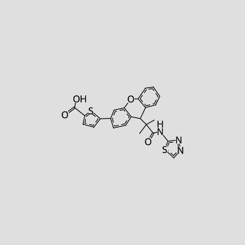 CC(C)(C(=O)Nc1nncs1)C1c2ccccc2Oc2cc(-c3ccc(C(=O)O)s3)ccc21